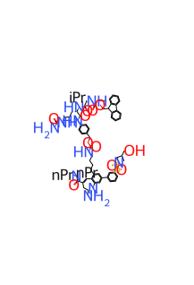 CCCN(CCC)C(=O)C1=Cc2c(CCCCNC(=O)OCc3ccc(NC(=O)[C@H](CCCNC(N)=O)NC(=O)[C@@H](NC(=O)OCC4c5ccccc5-c5ccccc54)C(C)C)cc3)cc(-c3cccc(S(=O)(=O)N4CC(CO)C4)c3)cc2N=C(N)C1